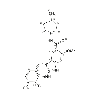 COc1cc2[nH]c(Nc3c(Cl)ccc(Cl)c3F)nc2cc1C(=O)NC1CCC(C)CC1